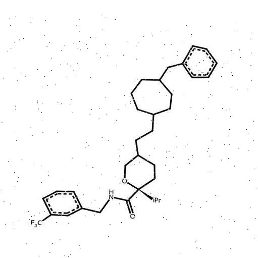 CC(C)[C@]1(C(=O)NCc2cccc(C(F)(F)F)c2)CCC(CCC2CCCC(Cc3ccccc3)CC2)CO1